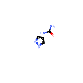 NC(N)=O.c1cn[nH]c1